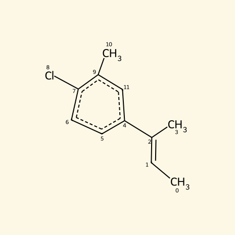 C/C=C(\C)c1ccc(Cl)c(C)c1